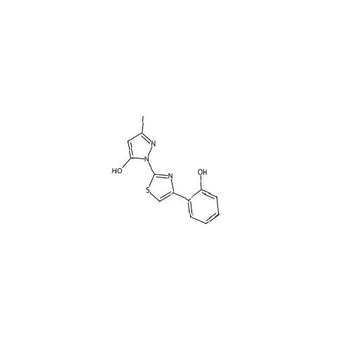 Cc1cc(O)n(-c2nc(-c3ccccc3O)cs2)n1